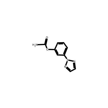 NC(=O)Oc1cccc(-n2nccn2)c1